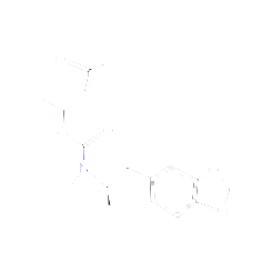 CC(OC(=O)C(C)C)OC(=O)N(C)[C@H](C)Cc1ccc2c(c1)OCO2